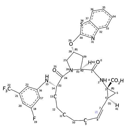 O=C1N[C@]2(C(=O)O)C[C@H]2/C=C\CCCCC[C@H](Nc2cc(F)cc(C(F)(F)F)c2)C(=O)N2C[C@H](Oc3nc4ccccc4s3)C[C@@H]12